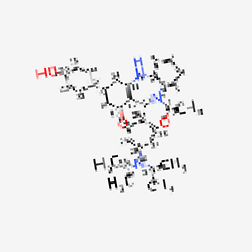 CC(=O)N1c2ccccc2NC2=C(C(=O)CC(c3ccc(O)cc3)C2)C1c1ccc(N(C(C)C)C(C)C)cc1